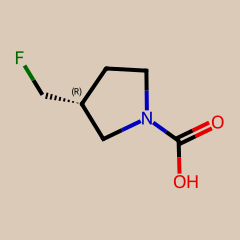 O=C(O)N1CC[C@@H](CF)C1